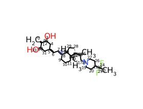 C=C1[C@H](O)CC(=C/C=C2\CCC[C@]3(C)[C@@H]([C@@H](C)CN4CCC(C(C)(F)F)CC4)CC[C@@H]23)C[C@H]1O